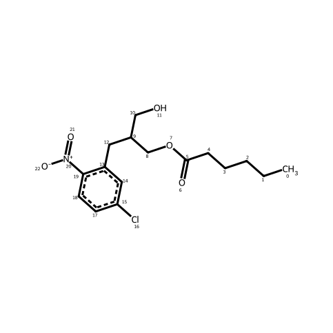 CCCCCC(=O)OCC(CO)Cc1cc(Cl)ccc1[N+](=O)[O-]